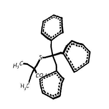 CC(C)(SC(c1ccccc1)(c1ccccc1)c1ccccc1)C(=O)O